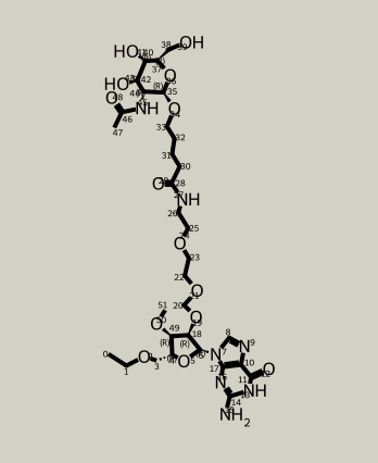 CCOC[C@H]1O[C@@H](n2cnc3c(=O)[nH]c(N)nc32)[C@H](OCOCCOCCNC(=O)CCCCO[C@@H]2O[C@H](CO)[C@H](O)[C@H](O)[C@H]2NC(C)=O)[C@@H]1OC